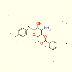 Cc1ccc(SC2OC3COC(c4ccccc4)OC3C(N)C2O)cc1